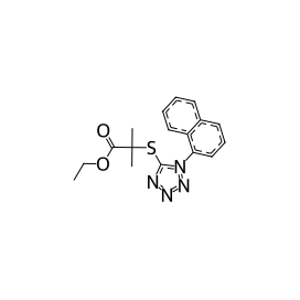 CCOC(=O)C(C)(C)Sc1nnnn1-c1cccc2ccccc12